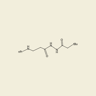 CCCNCCC(=O)NNC(=O)CC(C)(C)C